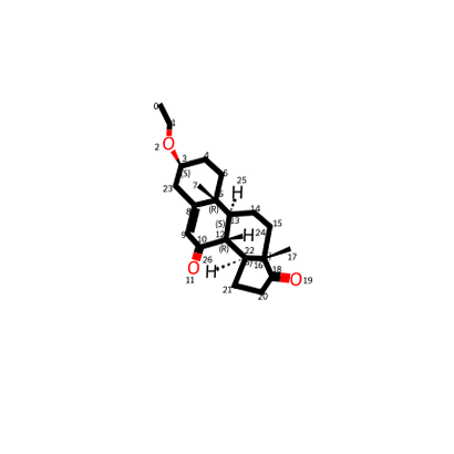 CCO[C@H]1CC[C@@]2(C)C(=CC(=O)[C@@H]3[C@@H]2CC[C@]2(C)C(=O)CC[C@@H]32)C1